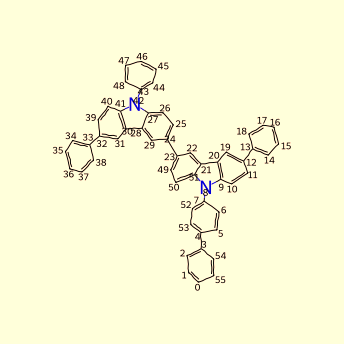 c1ccc(-c2ccc(-n3c4ccc(-c5ccccc5)cc4c4cc(-c5ccc6c(c5)c5cc(-c7ccccc7)ccc5n6-c5ccccc5)ccc43)cc2)cc1